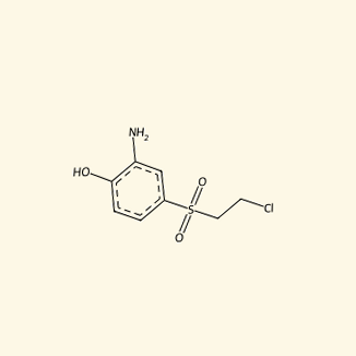 Nc1cc(S(=O)(=O)CCCl)ccc1O